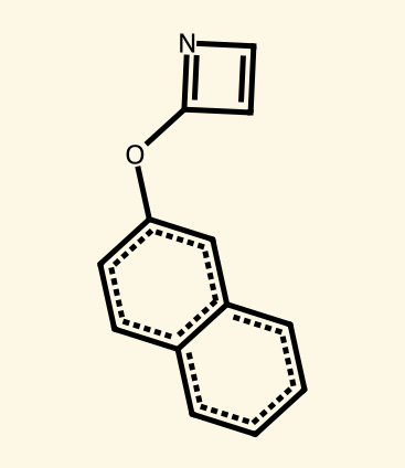 C1=CC(Oc2ccc3ccccc3c2)=N1